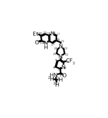 [2H]C([2H])([2H])NC(=O)c1ccc(N2CCN(Cc3cnc4cc(CC)c(=O)[nH]c4c3)CC2)c(C(F)(F)F)n1